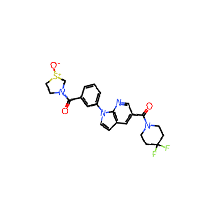 O=C(c1cnc2c(ccn2-c2cccc(C(=O)N3CC[S+]([O-])C3)c2)c1)N1CCC(F)(F)CC1